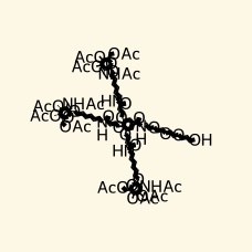 CC(=O)N[C@H]1[C@H](OCCCCCCNC(=O)CCO[C@@H]2[C@H](OCCC(=O)NCCCCCCO[C@@H]3O[C@H](COC(C)=O)[C@H](OC(C)=O)[C@H](OC(C)=O)[C@H]3NC(C)=O)C=C(C(=O)NCCOCCOCCOCCCO)C[C@H]2OCCC(=O)NCCCCCCO[C@@H]2O[C@H](COC(C)=O)[C@H](OC(C)=O)[C@H](OC(C)=O)[C@H]2NC(C)=O)O[C@H](COC(C)=O)[C@H](OC(C)=O)[C@@H]1OC(C)=O